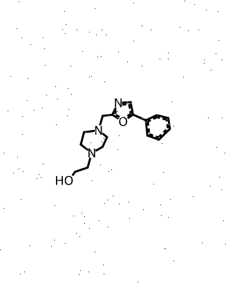 OCCN1CCN(Cc2ncc(-c3ccccc3)o2)CC1